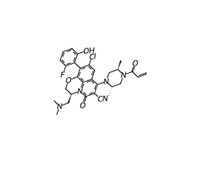 C=CC(=O)N1C[C@H](C)N(c2c(C#N)c(=O)n3c4c(c(-c5c(O)cccc5F)c(Cl)cc24)OC[C@@H]3CN(C)C)C[C@H]1C